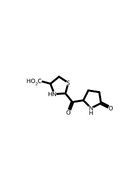 O=C1CCC(C(=O)C2NC(C(=O)O)CS2)N1